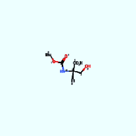 CC[C@@](CO)(NC(=O)OC(C)(C)C)C(=O)O